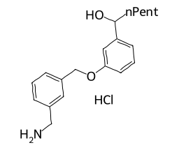 CCCCCC(O)c1cccc(OCc2cccc(CN)c2)c1.Cl